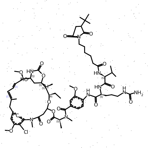 CC[C@H]1OC(OC(=O)[C@H](C)N(C)C(=O)c2ccc(NC(=O)[C@H](CCCNC(N)=O)NC(=O)[C@@H](NC(=O)CCCCCN3C(=O)CC(C(C)(C)C)C3=O)C(C)C)c(OC)c2)CC(=O)N(C)c2cc(cc(OC)c2Cl)C/C(C)=C/C=C/[C@@H](OC)[C@@]2(O)C[C@H](OC(=O)N2)[C@H]1C